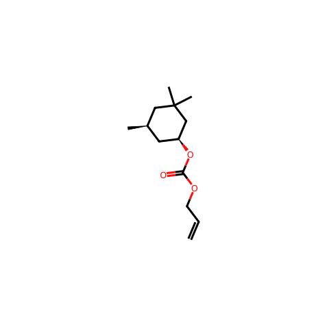 C=CCOC(=O)O[C@H]1C[C@@H](C)CC(C)(C)C1